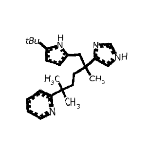 CC(C)(C)c1ccc(CC(C)(CCC(C)(C)c2ccccn2)c2c[nH]cn2)[nH]1